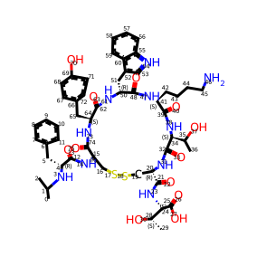 CC(C)N[C@H](Cc1ccccc1)C(=O)N[C@H]1CSSC[C@@H](C(=O)N[C@H](C(=O)O)[C@H](C)O)NC(=O)[C@H](C(C)O)NC(=O)[C@H](CCCCN)NC(=O)[C@@H](Cc2c[nH]c3ccccc23)NC(=O)[C@H](Cc2ccc(O)cc2)NC1=O